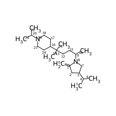 C=C1CC(C(C)C)CN1C(C)CCC(C)(C)C1CCN(C(C)C)CC1